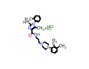 CCCc1nc(C(=O)NCCCN2CCN(c3cccc(C)c3C)CC2)c(C)n1-c1ccccc1C.Cl.Cl